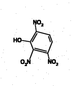 O=[N+]([O-])c1ccc([N+](=O)[O-])c([N+](=O)[O-])c1O